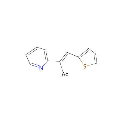 CC(=O)/C(=C\c1cccs1)c1ccccn1